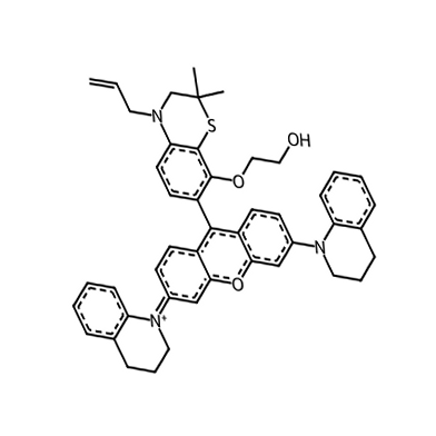 C=CCN1CC(C)(C)Sc2c1ccc(-c1c3cc/c(=[N+]4/CCCc5ccccc54)cc-3oc3cc(N4CCCc5ccccc54)ccc13)c2OCCO